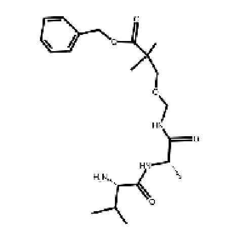 CC(C)[C@H](N)C(=O)N[C@@H](C)C(=O)NCOCC(C)(C)C(=O)OCc1ccccc1